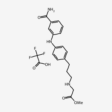 COC(=O)CNCCCc1ccc(Nc2cccc(C(N)=O)c2)cc1.O=C(O)C(F)(F)F